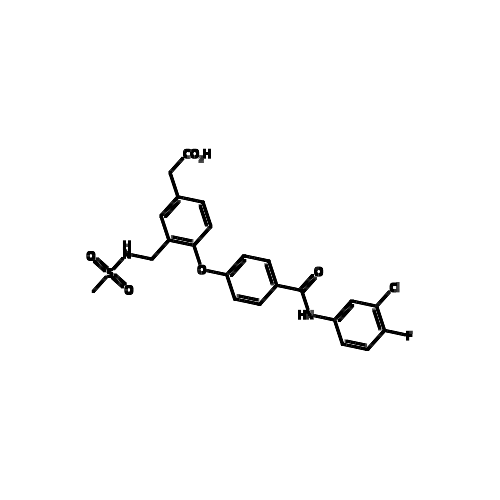 CS(=O)(=O)NCc1cc(CC(=O)O)ccc1Oc1ccc(C(=O)Nc2ccc(F)c(Cl)c2)cc1